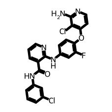 Nc1nccc(Oc2ccc(Nc3ncccc3C(=O)Nc3cccc(Cl)c3)cc2F)c1Cl